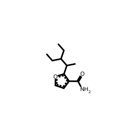 CCC(CC)C(C)c1occc1C(N)=O